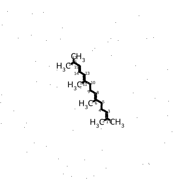 CC(C)=CCC/C(C)=C/CC/C(C)=C/C=C/C(C)C